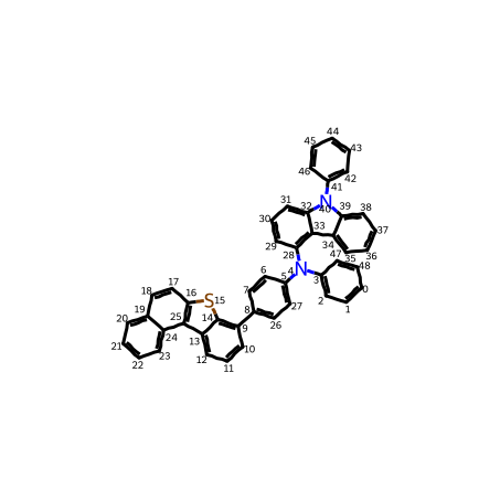 c1ccc(N(c2ccc(-c3cccc4c3sc3ccc5ccccc5c34)cc2)c2cccc3c2c2ccccc2n3-c2ccccc2)cc1